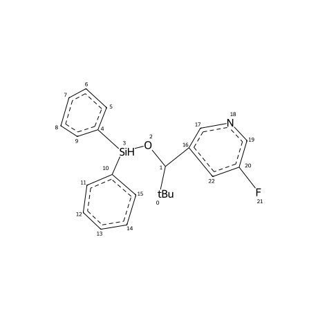 CC(C)(C)C(O[SiH](c1ccccc1)c1ccccc1)c1cncc(F)c1